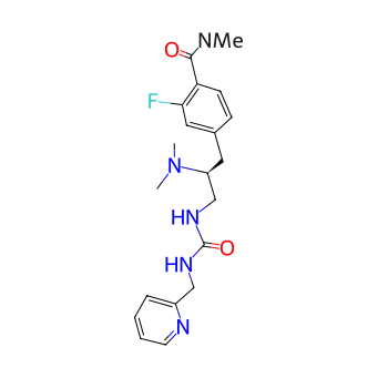 CNC(=O)c1ccc(C[C@@H](CNC(=O)NCc2ccccn2)N(C)C)cc1F